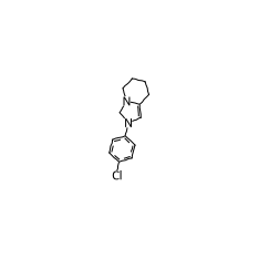 Clc1ccc(N2C=C3CCCCN3C2)cc1